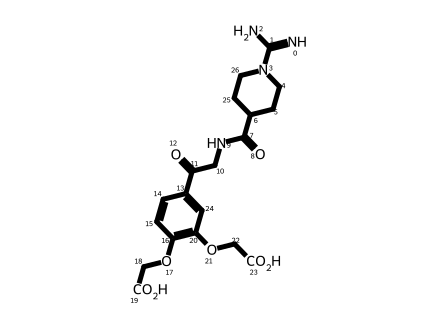 N=C(N)N1CCC(C(=O)NCC(=O)c2ccc(OCC(=O)O)c(OCC(=O)O)c2)CC1